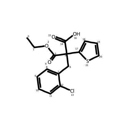 CCOC(=O)C(Cc1ccccc1Cl)(C(=O)O)c1cccs1